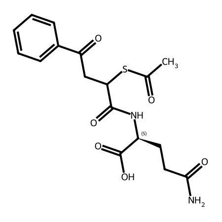 CC(=O)SC(CC(=O)c1ccccc1)C(=O)N[C@@H](CCC(N)=O)C(=O)O